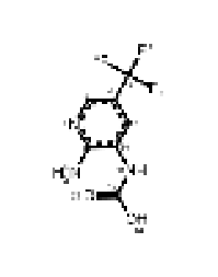 Nc1ncc(C(F)(F)F)cc1NC(=O)O